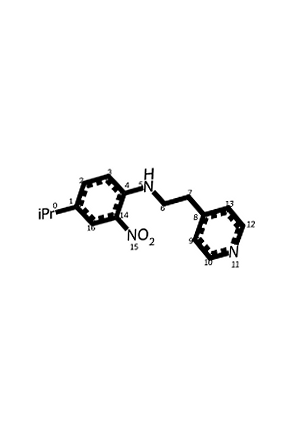 CC(C)c1ccc(NCCc2ccncc2)c([N+](=O)[O-])c1